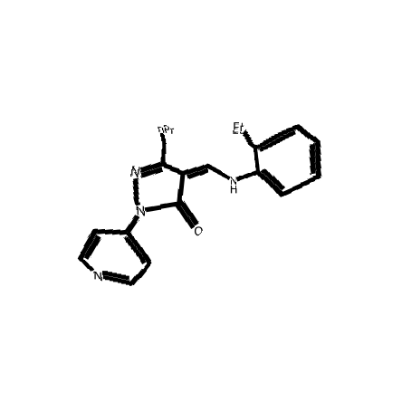 CCCC1=NN(c2ccncc2)C(=O)/C1=C\Nc1ccccc1CC